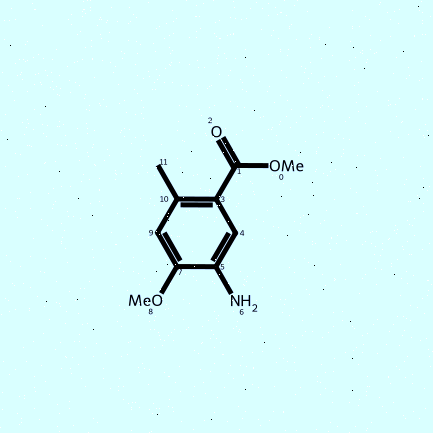 COC(=O)c1cc(N)c(OC)cc1C